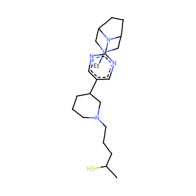 CCN1CC2CCC(C1)N2c1ncc(C2CCCN(CCCC(C)S)C2)cn1